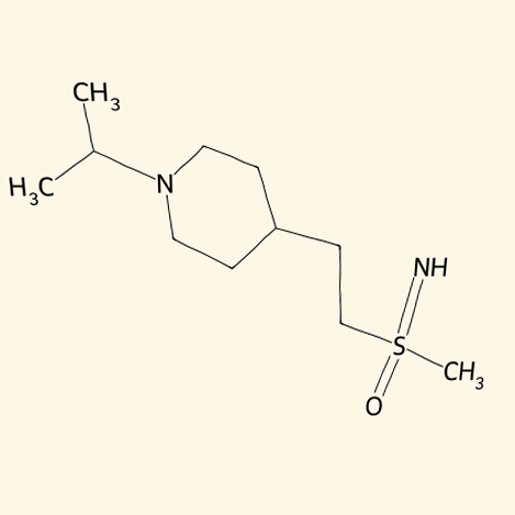 CC(C)N1CCC(CCS(C)(=N)=O)CC1